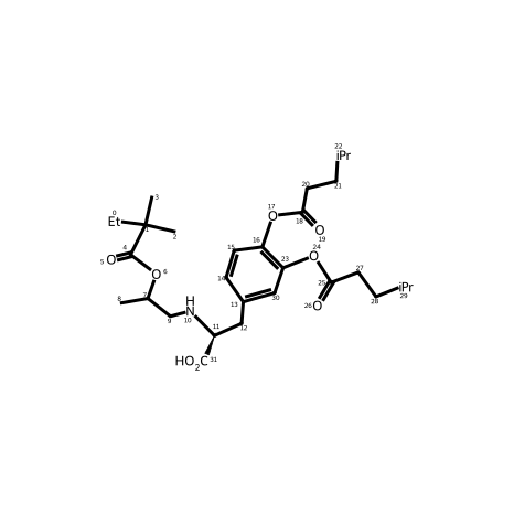 CCC(C)(C)C(=O)OC(C)CN[C@@H](Cc1ccc(OC(=O)CCC(C)C)c(OC(=O)CCC(C)C)c1)C(=O)O